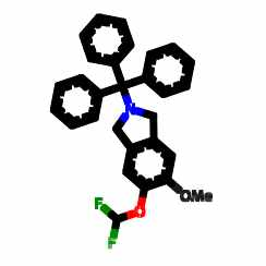 COc1cc2c(cc1OC(F)F)CN(C(c1ccccc1)(c1ccccc1)c1ccccc1)C2